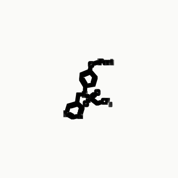 CCCC(C)Oc1ccc(N(Cc2cncnc2)S(=O)(=O)CC(F)(F)F)cc1